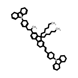 CCCCCCC1(CCCCCC)C2=C(CCC(/C=C/C3=CCC(N4C5=C(CCCC5)C5CCC=CC54)CC3)=C2)c2ccc(C(C)CC3=CCC(n4c5c(c6c4C=CCC6)CCC=C5)C=C3)cc21